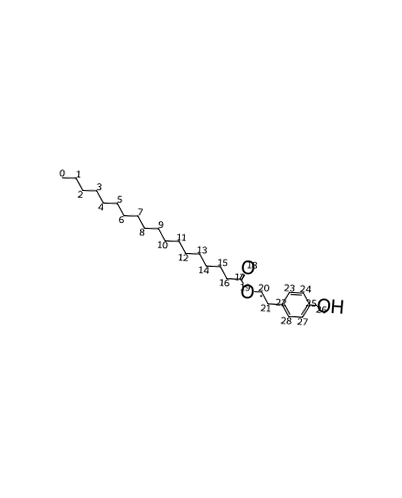 CCCCCCCCCCCCCCCCCC(=O)O[CH]Cc1ccc(O)cc1